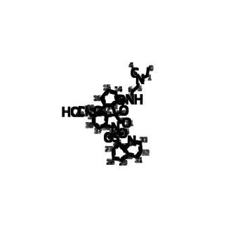 CCN(CC)CCNC(=O)OC1(c2ccccc2OC)C(=O)N(S(=O)(=O)c2cccc3cccnc23)c2ccc(Cl)cc21.Cl